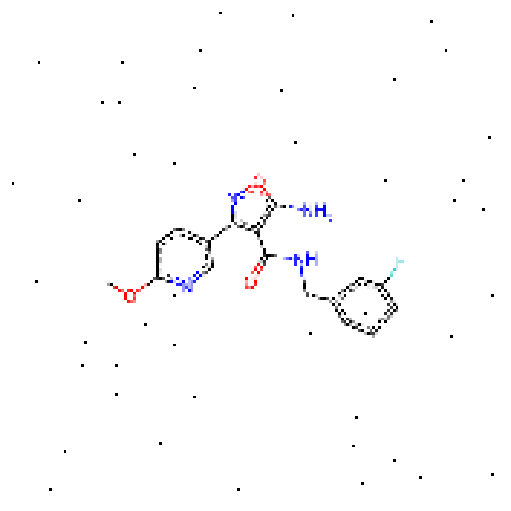 COc1ccc(-c2noc(N)c2C(=O)NCc2cccc(F)c2)cn1